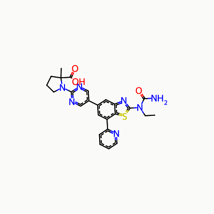 CCN(C(N)=O)c1nc2cc(-c3cnc(N4CCCC4(C)C(=O)O)nc3)cc(-c3ccccn3)c2s1